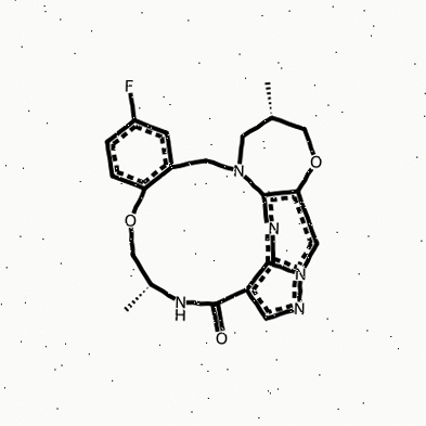 C[C@@H]1COc2cn3ncc4c3nc2N(Cc2cc(F)ccc2OC[C@@H](C)NC4=O)C1